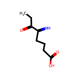 CCC(=O)C(=N)CCCC(=O)O